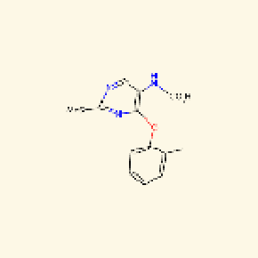 CSc1ncc(NC(=O)O)c(Oc2ccccc2C)n1